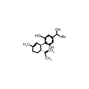 C=C(C)[C@@H]1CCC(C)=C[C@H]1c1c(O)cc(C(O)CCCC)cc1O